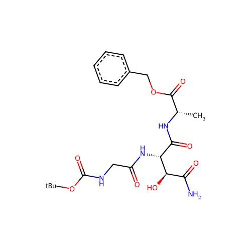 C[C@H](NC(=O)[C@@H](NC(=O)CNC(=O)OC(C)(C)C)[C@H](O)C(N)=O)C(=O)OCc1ccccc1